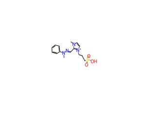 CN(N=Cc1n(C)cc[n+]1CCCS(=O)(=O)O)c1ccccc1